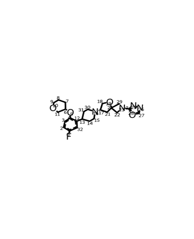 Fc1ccc(O[C@@H]2CCCOC2)c(C2CCN([C@@H]3COC4(C3)CN(c3nnco3)C4)CC2)c1